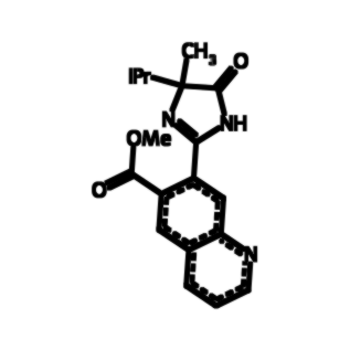 COC(=O)c1cc2cccnc2cc1C1=NC(C)(C(C)C)C(=O)N1